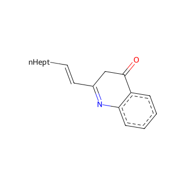 CCCCCCC/C=C/C1=Nc2ccccc2C(=O)C1